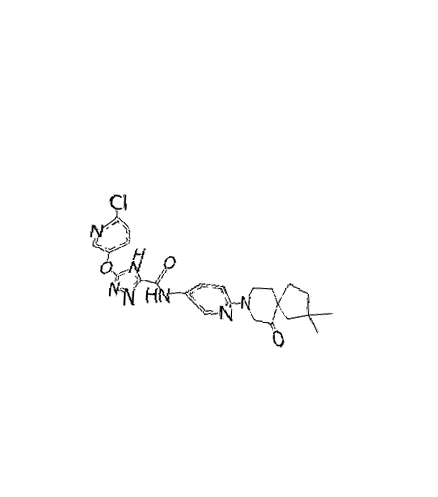 CC1(C)CCC2(CCN(c3ccc(NC(=O)c4nnc(Oc5ccc(Cl)nc5)[nH]4)cn3)CC2=O)C1